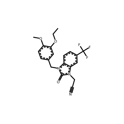 CCOc1cc(Cn2c(=O)n(CC#N)c3cc(C(F)(F)F)ccc32)ccc1OC